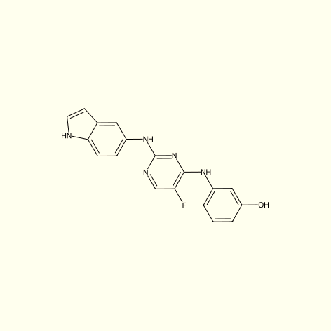 Oc1cccc(Nc2nc(Nc3ccc4[nH]ccc4c3)ncc2F)c1